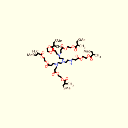 CSCC(C)C(=O)OCCOC(=O)CCNCCN(CCN(CCC(=O)OCCOC(=O)C(C)CSC)CCC(=O)OCCOC(=O)C(C)CSC)CCN(CCC(=O)OCCOC(=O)C(C)CSC)CCC(=O)OCCOC(=O)C(C)CSC